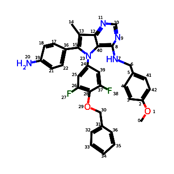 COc1ccc(CNc2ncnc3c(C)c(-c4ccc(N)cc4)n(-c4cc(F)c(OCc5ccccc5)c(F)c4)c23)cc1